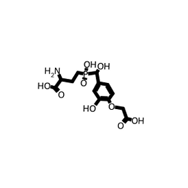 NC(CCP(=O)(O)C(O)c1ccc(OCC(=O)O)c(O)c1)C(=O)O